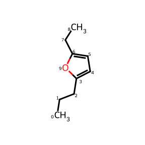 CCCc1ccc(CC)o1